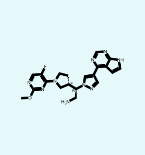 COc1ncc(F)c(N2CC[C@H]([C@H](CN)n3cc(-c4ncnc5[nH]ccc45)cn3)C2)n1